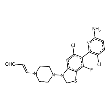 Nc1ccc(Cl)c(-c2c(Cl)cc3c(c2F)SCN3N2CCN(C=CC=O)CC2)n1